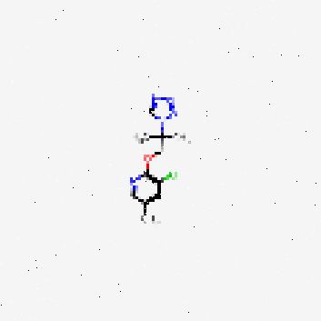 Cc1cnc(OCC(C)(C)n2cnnn2)c(Cl)c1